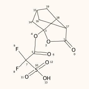 O=C1OC2(OC(=O)C(F)(F)S(=O)(=O)O)CC3CC1C2C3